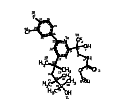 CC(C)(C)OC(=O)NCC(O)(c1cc(C(C)(C)CC(C)(C)[Si](C)(C)O)cc(-c2ccc(F)c(Cl)c2)n1)C(F)(F)F